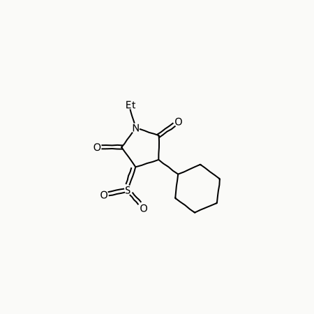 CCN1C(=O)C(=S(=O)=O)C(C2CCCCC2)C1=O